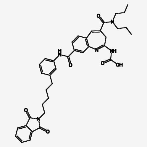 CCCN(CCC)C(=O)C1=Cc2ccc(C(=O)Nc3cccc(CCCCCN4C(=O)c5ccccc5C4=O)c3)cc2N=C(NC(=O)O)C1